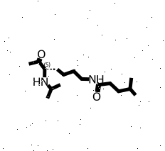 CC(=O)[C@H](CCCCNC(=O)CCC(C)C)NC(C)C